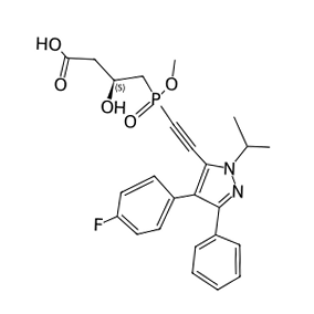 COP(=O)(C#Cc1c(-c2ccc(F)cc2)c(-c2ccccc2)nn1C(C)C)C[C@@H](O)CC(=O)O